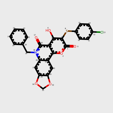 O=c1oc2c(c(O)c1Sc1ccc(Cl)cc1)c(=O)n(Cc1ccccc1)c1cc3c(cc21)OCO3